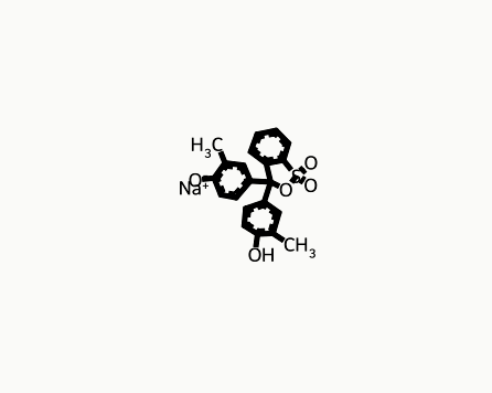 Cc1cc(C2(c3ccc(O)c(C)c3)OS(=O)(=O)c3ccccc32)ccc1[O-].[Na+]